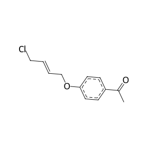 CC(=O)c1ccc(OCC=CCCl)cc1